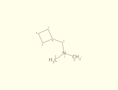 [CH2]N(C)CC1CCC1